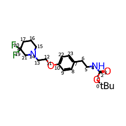 CC(C)(C)OC(=O)NCCc1ccc(OCCN2CCCC(F)(F)C2)cc1